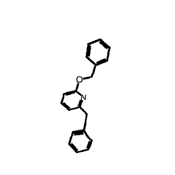 c1ccc(COc2cccc(Cc3ccccc3)n2)cc1